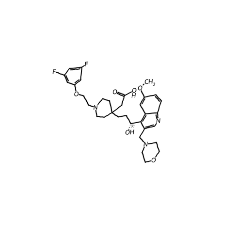 COc1ccc2ncc(CN3CCOCC3)c([C@H](O)CCC3(CC(=O)O)CCN(CCOc4cc(F)cc(F)c4)CC3)c2c1